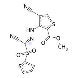 COC(=O)c1scc(C#N)c1N/N=C(\C#N)S(=O)(=O)c1cccs1